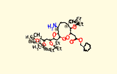 CC[Si](CC)(CC)OC1C(CC(=O)OCc2ccccc2)OOC2CC([C@H](C[C@H](CO[Si](C)(C)C(C)(C)C)O[Si](C)(C)C(C)(C)C)O[Si](CC)(CC)CC)OC2[C@@H](N)CC[C@@H]1C